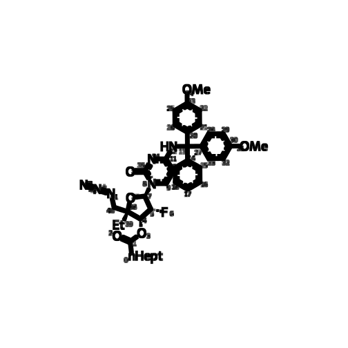 CCCCCCCC(=O)O[C@H]1[C@@H](F)[C@H](n2ccc(NC(c3ccccc3)(c3ccc(OC)cc3)c3ccc(OC)cc3)nc2=O)O[C@@]1(CC)CN=[N+]=[N-]